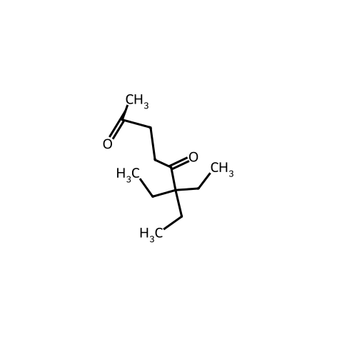 CCC(CC)(CC)C(=O)CCC(C)=O